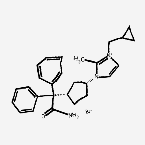 Cc1n([C@@H]2CC[C@H](C(C(N)=O)(c3ccccc3)c3ccccc3)C2)cc[n+]1CC1CC1.[Br-]